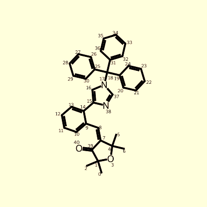 CC1(C)OC(C)(C)C(=Cc2ccccc2-c2cn(C(c3ccccc3)(c3ccccc3)c3ccccc3)cn2)C1=O